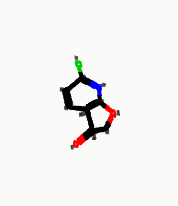 O=C1COc2nc(Cl)ccc21